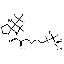 C=C(COCCC(F)(F)C(F)(F)S(=O)(=O)O)C(=O)OC1(C(O)(C(F)(F)F)C(F)(F)F)CCCC1